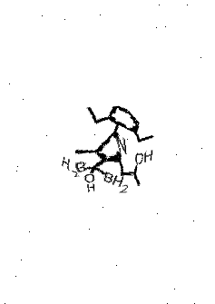 BC(B)(O)c1c(C)cc(-c2c(CC)cccc2CC)nc1CC(C)O